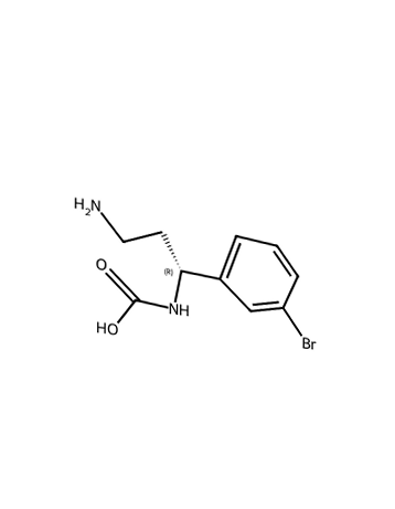 NCC[C@@H](NC(=O)O)c1cccc(Br)c1